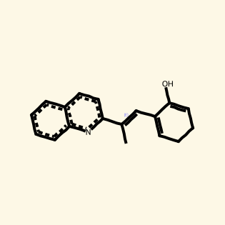 C/C(=C\C1=CCCC=C1O)c1ccc2ccccc2n1